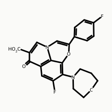 O=C(O)c1cn2c3c(c(N4CCCCCC4)c(F)cc3c1=O)OC(c1ccc(F)cc1)=C2